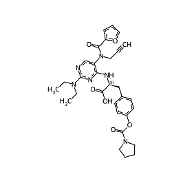 C#CCN(C(=O)c1ccco1)c1cnc(N(CC)CC)nc1N[C@@H](Cc1ccc(OC(=O)N2CCCC2)cc1)C(=O)O